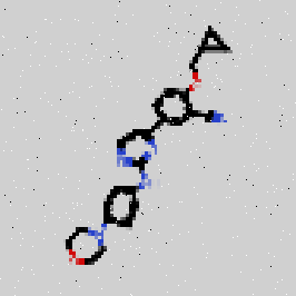 N#Cc1cc(-c2ccnc(Nc3ccc(N4CCOCC4)cc3)n2)ccc1OCC1CC1